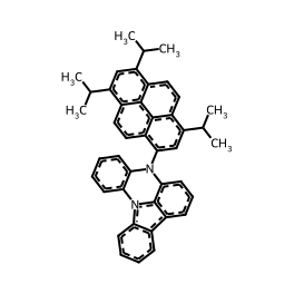 CC(C)c1cc(C(C)C)c2ccc3c(N4c5ccccc5-n5c6ccccc6c6cccc4c65)cc(C(C)C)c4ccc1c2c43